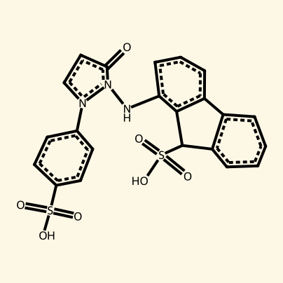 O=c1ccn(-c2ccc(S(=O)(=O)O)cc2)n1Nc1cccc2c1C(S(=O)(=O)O)c1ccccc1-2